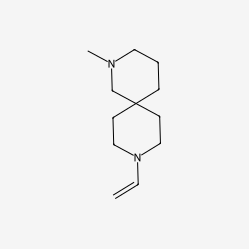 C=CN1CCC2(CCCN(C)C2)CC1